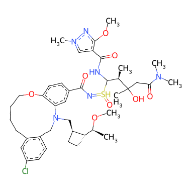 COc1nn(C)cc1C(=O)NC([C@@H](C)C(C)(O)CC(=O)N(C)C)/[SH](=O)=N\C(=O)c1ccc2c(c1)N(C[C@@H]1CC[C@H]1[C@H](C)OC)Cc1ccc(Cl)cc1CCCCO2